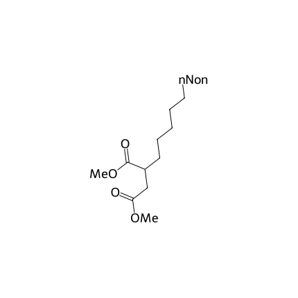 CCCCCCCCCCCCCCC(CC(=O)OC)C(=O)OC